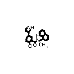 C[C@@H](NC(=O)c1cc(C2=CCNC2)ccc1Cl)c1cccc2ccccc12